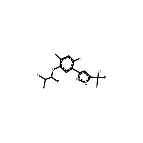 Cc1cc(Cl)c(-c2cc(C(F)(F)Cl)on2)cc1SC(F)C(F)F